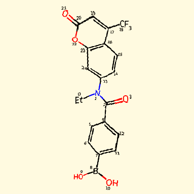 CCN(C(=O)c1ccc(B(O)O)cc1)c1ccc2c(C(F)(F)F)cc(=O)oc2c1